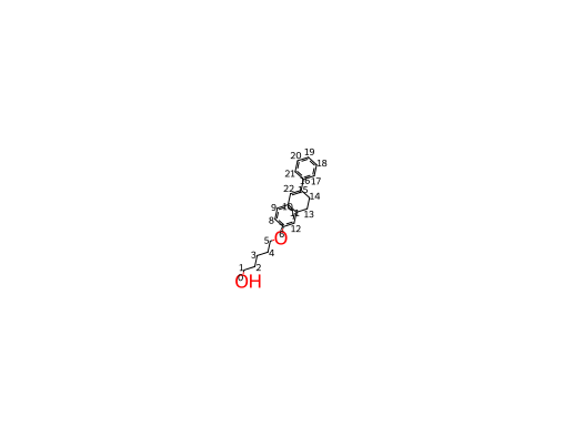 OCCCCCOc1ccc2c(c1)CCC(c1ccccc1)=C2